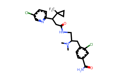 CN(C)C(CNC(=O)CC(c1ccc(Cl)cn1)C1(C(F)(F)F)CC1)Cc1ccc(C(N)=O)cc1Cl